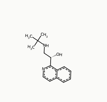 CC(C)(C)NC[C@H](O)c1nccc2ccccc12